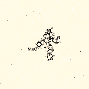 COc1ccc(C[C@H](NC(=O)[C@@H](C)NC(=O)CN2CCOCC2)C(=O)N[C@@H](C[C@H]2CCN(C)C2=O)C(=O)[C@@]2(C)CO2)cc1